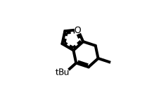 CC1C=C(C(C)(C)C)c2ccoc2C1